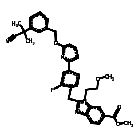 COCCn1c(Cc2ccc(-c3cccc(OCc4cccc(C(C)(C)C#N)c4)n3)cc2F)nc2ccc(C(=O)OC)cc21